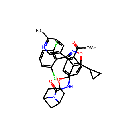 COC(=O)c1ccc(NC(=O)N2C3CC(OCc4c(-c5c(Cl)cccc5Cl)noc4C4CC4)CC2C3)cc1-c1ccc(C(F)(F)F)nc1